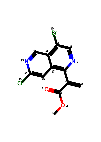 C=C(C(=O)OC)c1ncc(Br)c2cnc(Cl)cc12